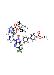 COC(=O)c1ccc(-c2ccc(-n3c(=O)n([C@H]4CCN(Cc5ncc(C(=O)OC(C)(C)C)n5C)C4)c4ncc(C(F)(F)F)cc43)cc2)cc1